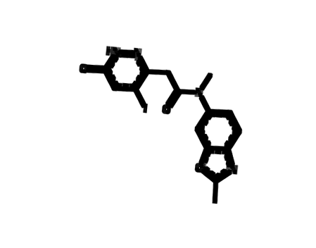 Cc1nc2ccc(N(C)C(=O)Cc3n[nH]c(=O)cc3I)cc2o1